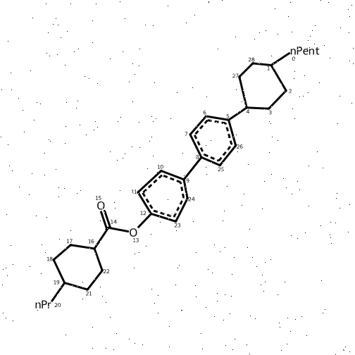 CCCCCC1CCC(c2ccc(-c3ccc(OC(=O)C4CCC(CCC)CC4)cc3)cc2)CC1